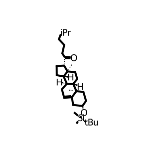 CC(C)CCCC(=O)[C@H]1CC[C@H]2[C@@H]3CC=C4C[C@@H](O[Si](C)(C)C(C)(C)C)CC[C@]4(C)[C@H]3CC[C@]12C